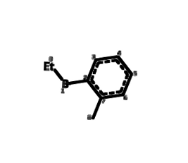 CC[B]c1ccccc1C